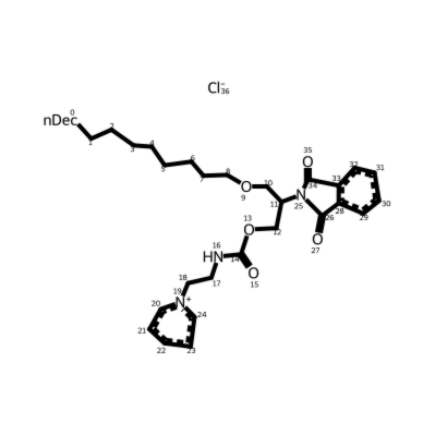 CCCCCCCCCCCCCCCCCCOCC(COC(=O)NCC[n+]1ccccc1)N1C(=O)c2ccccc2C1=O.[Cl-]